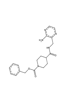 Nc1nccnc1CNC(=O)C1CCN(C(=O)OCc2ccccc2)CC1